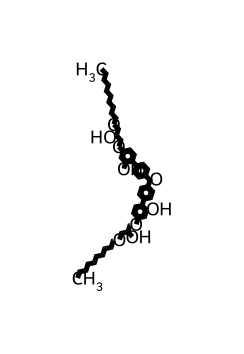 CCCCCCCCCCOCC(O)COc1ccc(-c2ccc(C(=O)c3ccc(-c4ccc(OCC(O)COCCCCCCCCCC)cc4O)cc3)cc2)c(O)c1